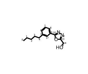 CCCCCc1cccc(-c2nnc(CO)o2)c1